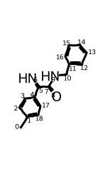 Cc1ccc(C(=N)C(=O)NCc2ccccc2)cc1